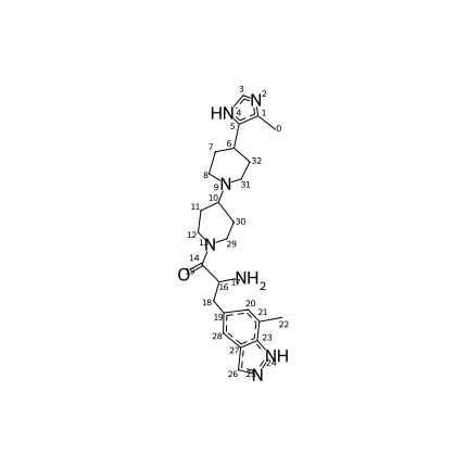 Cc1nc[nH]c1C1CCN(C2CCN(C(=O)C(N)Cc3cc(C)c4[nH]ncc4c3)CC2)CC1